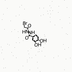 O=C(CBr)NNC(=O)c1ccc(O)c(O)c1